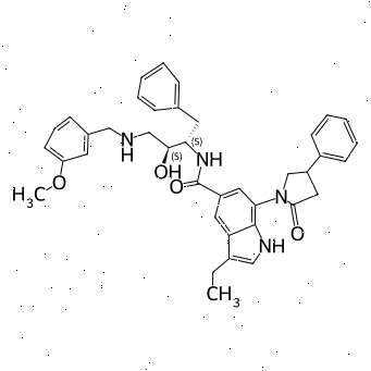 CCc1c[nH]c2c(N3CC(c4ccccc4)CC3=O)cc(C(=O)N[C@@H](Cc3ccccc3)[C@@H](O)CNCc3cccc(OC)c3)cc12